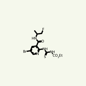 CCOC(=O)NC(=S)Nc1ncc(Br)cc1C(=O)NC(C)CF